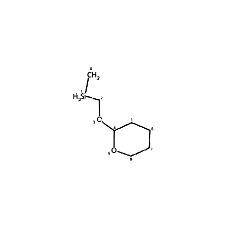 C[SiH2]COC1CCCCO1